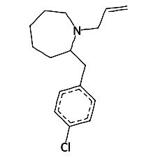 C=CCN1CCCCCC1Cc1ccc(Cl)cc1